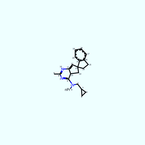 CCCN(CC1CC1)C1=NC(C)=NC2=CC3(CCc4ccccc43)CC21